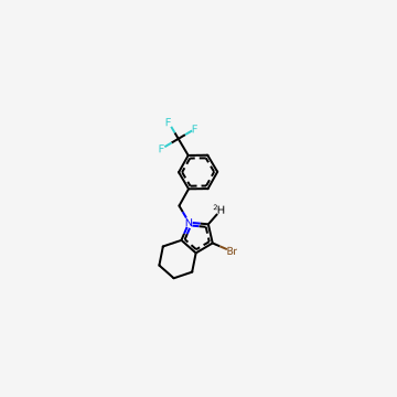 [2H]c1c(Br)c2c(n1Cc1cccc(C(F)(F)F)c1)CCCC2